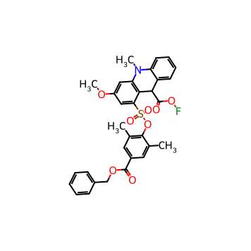 COc1cc2c(c(S(=O)(=O)Oc3c(C)cc(C(=O)OCc4ccccc4)cc3C)c1)C(C(=O)OF)c1ccccc1N2C